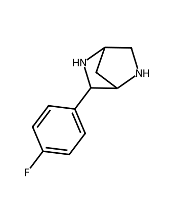 Fc1ccc(C2NC3CNC2C3)cc1